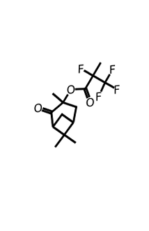 CC1(OC(=O)C(C)(F)C(F)(F)F)CC2CC(C1=O)C2(C)C